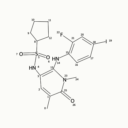 Cc1cc(NS(=O)(=O)C2CCCC2)c(Nc2ccc(I)cc2F)n(C)c1=O